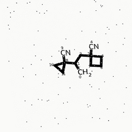 [CH2]C(CC1(C#N)CCC1)C1(C#N)CC1